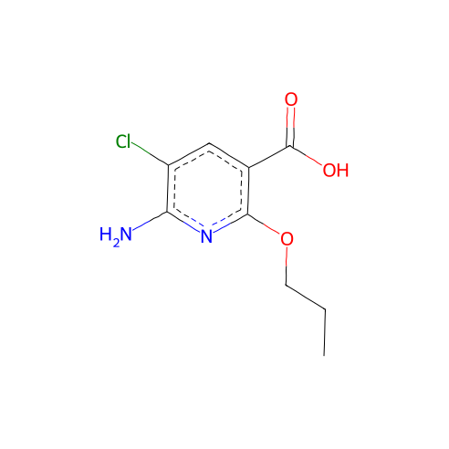 CCCOc1nc(N)c(Cl)cc1C(=O)O